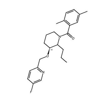 CCCC1[C@@H](OCc2ccc(F)cn2)CCCN1C(=O)c1cc(C)ccc1C